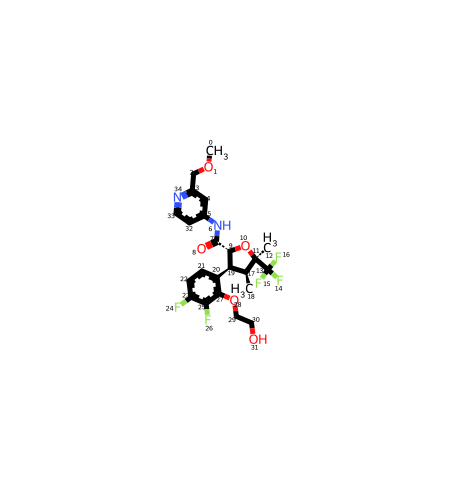 COCc1cc(NC(=O)[C@@H]2O[C@@](C)(C(F)(F)F)[C@@H](C)[C@H]2c2ccc(F)c(F)c2OCCO)ccn1